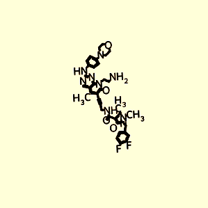 Cc1c(C#CCNC(=O)c2c(C)n(C)n(Cc3ccc(F)c(F)c3)c2=O)c(=O)n(CCN)c2nc(Nc3ccc(N4CCOCC4)cc3)ncc12